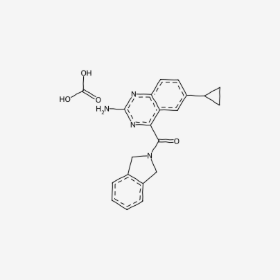 Nc1nc(C(=O)N2Cc3ccccc3C2)c2cc(C3CC3)ccc2n1.O=C(O)O